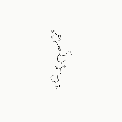 Cc1cc(NC(=O)Nc2cccc(C(F)(F)F)c2)ccc1C#Cc1cnc(N)nc1